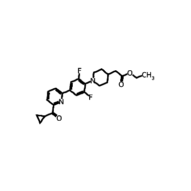 CCOC(=O)CC1CCN(c2c(F)cc(-c3cccc(C(=O)C4CC4)n3)cc2F)CC1